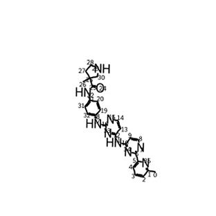 Cc1cccc(-c2nccc(Nc3ccnc(Nc4ccc(NC(=O)C5(C)CCNC5)cc4)n3)n2)n1